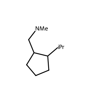 CNCC1CCCC1C(C)C